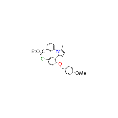 CCOC(=O)c1cccc(-n2c(C)ccc2-c2cc(Cl)ccc2OCc2ccc(OC)cc2)c1